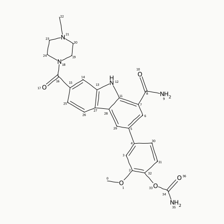 COc1cc(-c2cc(C(N)=O)c3[nH]c4cc(C(=O)N5CCN(C)CC5)ccc4c3c2)ccc1OC(N)=O